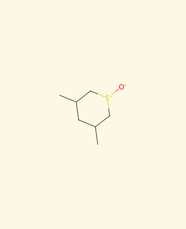 CC1CC(C)C[S+]([O-])C1